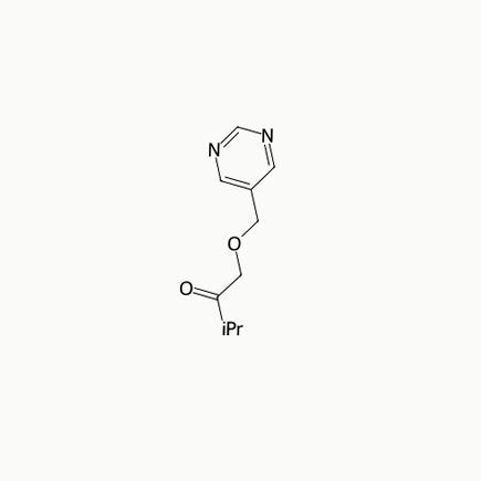 CC(C)C(=O)COCc1cncnc1